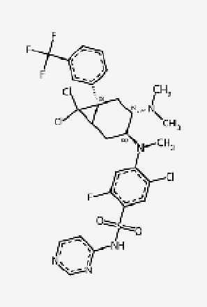 CN(C)[C@H]1C[C@@]2(c3cccc(C(F)(F)F)c3)C(C[C@@H]1N(C)c1cc(F)c(S(=O)(=O)Nc3ccncn3)cc1Cl)C2(Cl)Cl